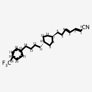 N#CC=CC=CCC[C@H]1CC[C@H](CCCCc2ccc(C(F)(F)F)cc2)CC1